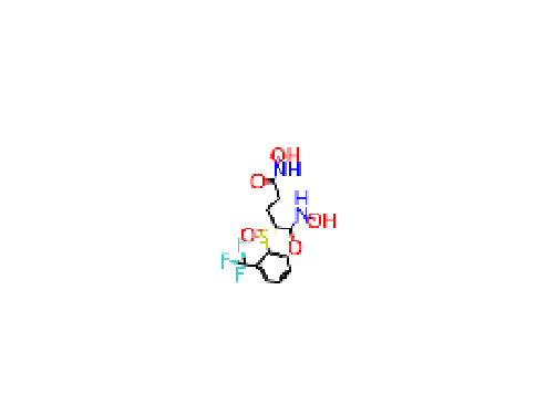 O=C(CCC(C(=O)NO)[S+]([O-])c1ccccc1C(F)(F)F)NO